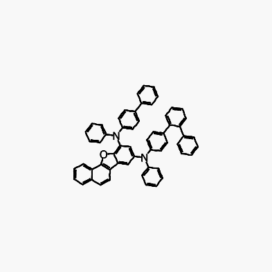 c1ccc(-c2ccc(N(c3ccccc3)c3cc(N(c4ccccc4)c4ccc(-c5ccccc5-c5ccccc5)cc4)cc4c3oc3c5ccccc5ccc43)cc2)cc1